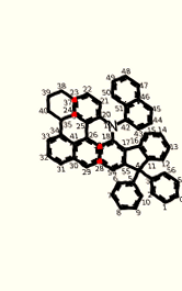 c1ccc(C2(c3ccccc3)c3ccccc3-c3c(N(c4ccccc4-c4cccc5cccc(C6CCCCC6)c45)c4cccc5ccccc45)cccc32)cc1